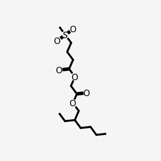 CCCCC(CC)COC(=O)COC(=O)CCCS(C)(=O)=O